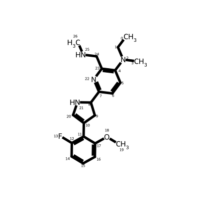 CCN(C)c1ccc(C2CC(c3c(F)cccc3OC)=CN2)nc1CNC